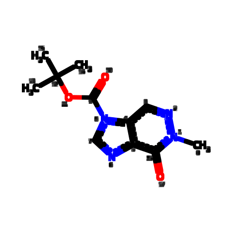 Cn1ncc2c(ncn2C(=O)OC(C)(C)C)c1=O